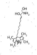 CC1=CC(C)=[N+]2C1=C(CCCCCCCC/C=C/[C@@H](O)[C@@H](N)CO)C1=C(C)C=C(C)C1[B-]2(F)F